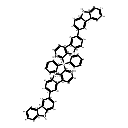 c1ccc([Si](c2ccccc2)(c2nccc3c2oc2ccc(-c4ccc5sc6ccccc6c5c4)cc23)c2nccc3c2sc2ccc(-c4ccc5oc6ccccc6c5c4)cc23)cc1